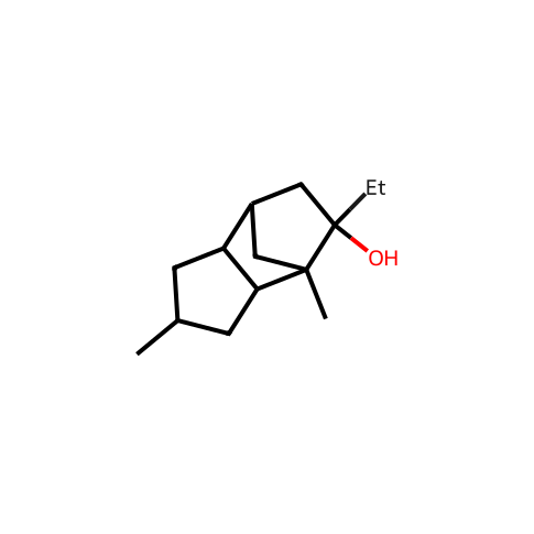 CCC1(O)CC2CC1(C)C1CC(C)CC21